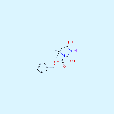 CC1(C)CC(O)N(I)C(O)N1C(=O)OCc1ccccc1